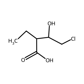 CCC(C(=O)O)C(O)CCl